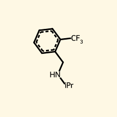 CC(C)NCc1ccccc1C(F)(F)F